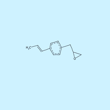 CC=Cc1ccc(CC2CO2)cc1